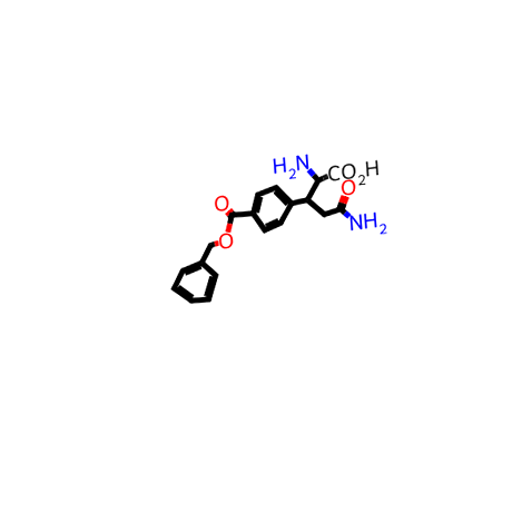 NC(=O)CC(c1ccc(C(=O)OCc2ccccc2)cc1)C(N)C(=O)O